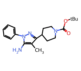 Cc1c(C2CCN(C(=O)OC(C)(C)C)CC2)nn(-c2ccccc2)c1N